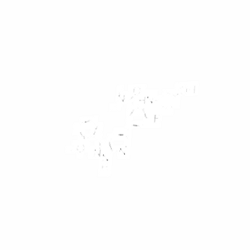 COc1ccccc1-c1n[nH]c2ncc(-c3cc(F)c(N[C@H]4CC[C@H](O)C4)c(C(=O)N(C)C)c3)cc12